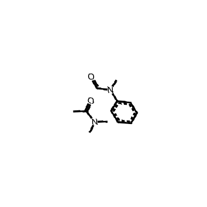 CC(=O)N(C)C.CN(C=O)c1ccccc1